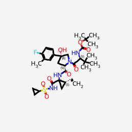 C=C[C@@H]1C[C@]1(NC(=O)[C@@H]1C[C@@](O)(c2ccc(F)c(C)c2)CN1C(=O)[C@@H](NC(=O)OC(C)(C)C)C(C)(C)C)C(=O)NS(=O)(=O)C1CC1